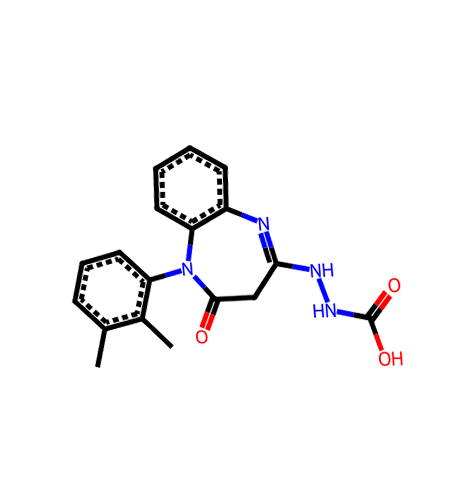 Cc1cccc(N2C(=O)CC(NNC(=O)O)=Nc3ccccc32)c1C